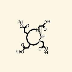 [2H]OC(=O)CC1CCC(CC(=O)O[2H])CCN(CC(=O)O[2H])NNN(CC(=O)O[2H])CC1